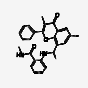 CNC(=O)c1ccccc1NC(C)c1cc(C)cc2c(=O)c(C)c(-c3ccccc3)oc12